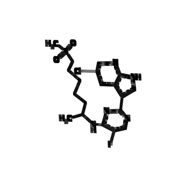 CC(CCCCCS(C)(=O)=O)Nc1nc(-c2c[nH]c3ncc(Cl)cc23)ncc1F